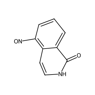 O=Nc1cccc2c(=O)[nH]ccc12